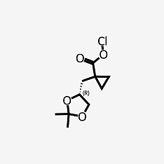 CC1(C)OC[C@@H](CC2(C(=O)OCl)CC2)O1